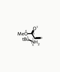 C=CC(=O)OC.[CH2]C(C)(C)N